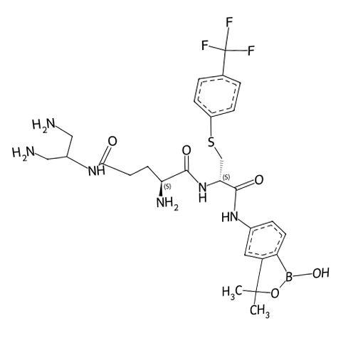 CC1(C)OB(O)c2ccc(NC(=O)[C@@H](CSc3ccc(C(F)(F)F)cc3)NC(=O)[C@@H](N)CCC(=O)NC(CN)CN)cc21